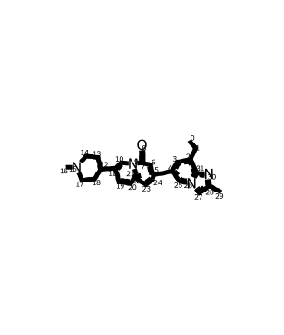 CCc1cc(C2=C\C(=O)N3C=C(C4CCN(C)CC4)C=C\C3=C/C=C/2)cn2cc(C)nc12